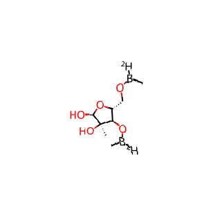 [2H]B(C)OC[C@H]1O[C@H](O)[C@](C)(O)[C@@H]1OB([2H])C